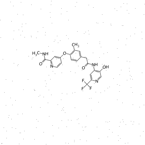 CNC(=O)c1cc(Oc2ccc(CC(=O)Nc3cc(C(F)(F)F)ncc3O)cc2C)ccn1